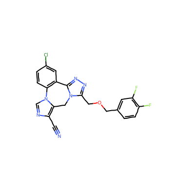 N#Cc1ncn2c1Cn1c(COCc3ccc(F)c(F)c3)nnc1-c1cc(Cl)ccc1-2